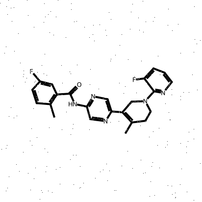 CC1=C(c2cnc(NC(=O)c3cc(F)ccc3C)cn2)CN(c2ncccc2F)CC1